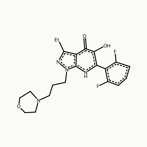 CCc1nn(CCCN2CCOCC2)c2[nH]c(-c3c(F)cccc3F)c(O)c(=O)c12